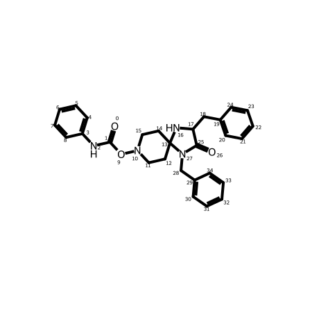 O=C(Nc1ccccc1)ON1CCC2(CC1)NC(Cc1ccccc1)C(=O)N2Cc1ccccc1